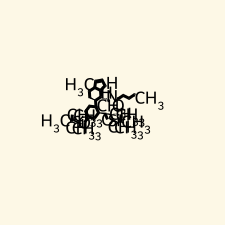 CCCCC(=O)NC[C@@H]1[C@@H]([C@@]2(C)CCC(O[Si](C)(C)C(C)(C)C)C[C@@H]2CO[Si](C)(C)C(C)(C)C)CC[C@]2(C)C=CC[C@@H]12